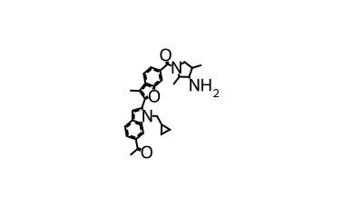 CC(=O)c1ccc2cc(-c3oc4cc(C(=O)N5CC(C)C(N)C5C)ccc4c3C)n(CC3CC3)c2c1